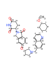 CO[C@@H]1CCC[C@H](c2ccc3cc(CN4CC[C@H](Oc5ccc6c(c5)CN(C5CCC(=O)NC5=O)C6=O)C4)ccc3n2)C1